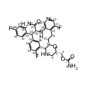 NC(=O)OC[C@@H]1CNC[C@@H](CCc2c(F)cncc2N[C@H](C(N)=O)C(c2ccc(F)cc2)c2ccc(F)cc2)O1